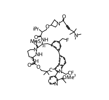 CO[C@@H](C)c1ncccc1-c1c2c3cc(ccc3n1CC(F)(F)F)-c1cc(CF)cc(c1)C[C@@](NC(=O)C(COC1CN(C(=O)C#CC(C)(C)N(C)C)C1)C(C)C)(SC)C(=O)N1CCC[C@@](S)(N1)C(=O)OCC(C)(C)C2